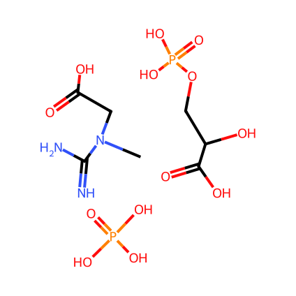 CN(CC(=O)O)C(=N)N.O=C(O)C(O)COP(=O)(O)O.O=P(O)(O)O